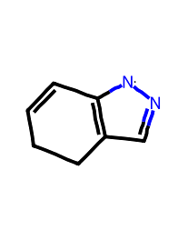 C1=CC2=C(C=N[N]2)CC1